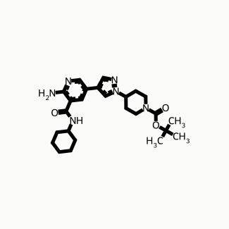 CC(C)(C)OC(=O)N1CCC(n2cc(-c3cnc(N)c(C(=O)NC4CCCCC4)c3)cn2)CC1